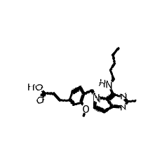 CCCCCNc1nc(C)nc2ccn(Cc3ccc(CCC(=O)O)cc3OC)c12